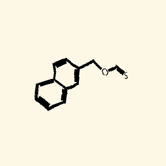 S=[C]OCc1ccc2ccccc2c1